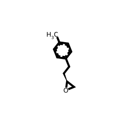 Cc1ccc(CC[C@H]2CO2)cc1